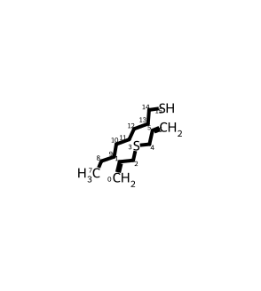 C=CCSCC=C.CCCCCCCCS